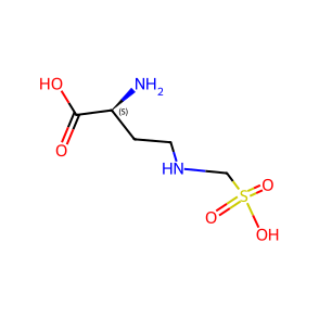 N[C@@H](CCNCS(=O)(=O)O)C(=O)O